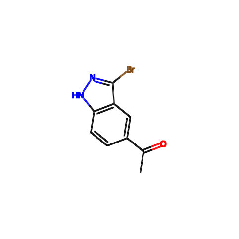 CC(=O)c1ccc2[nH]nc(Br)c2c1